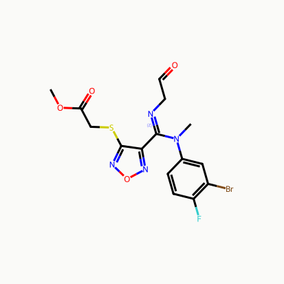 COC(=O)CSc1nonc1/C(=N/CC=O)N(C)c1ccc(F)c(Br)c1